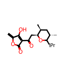 C=C1OC(=O)C(C(=O)C[C@@H]2OC(C(C)C)[C@@H](C)C[C@@H]2C)=C1O